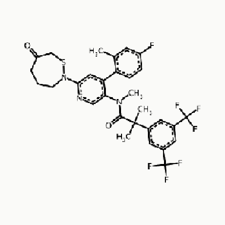 Cc1cc(F)ccc1-c1cc(N2CCCC(=O)CS2)ncc1N(C)C(=O)C(C)(C)c1cc(C(F)(F)F)cc(C(F)(F)F)c1